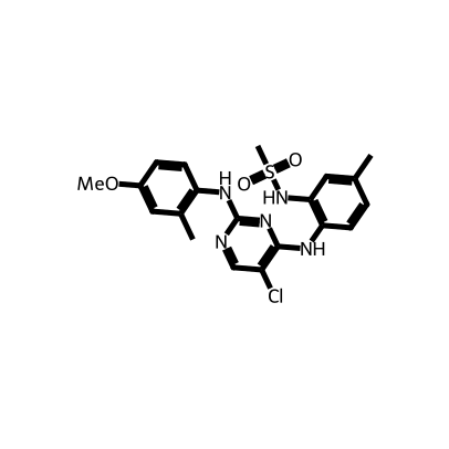 COc1ccc(Nc2ncc(Cl)c(Nc3ccc(C)cc3NS(C)(=O)=O)n2)c(C)c1